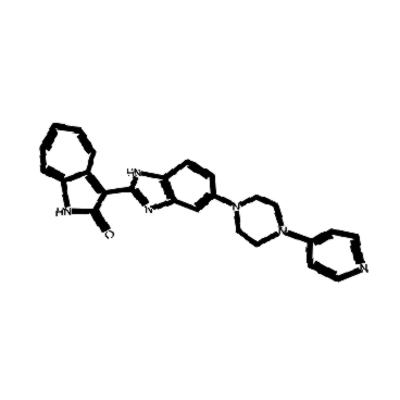 O=c1[nH]c2cccccc-2c1-c1nc2cc(N3CCN(c4ccncc4)CC3)ccc2[nH]1